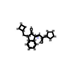 O=C(/C=C1/C(=O)N(CC2CCC2)c2ccccc21)N1CCCC1